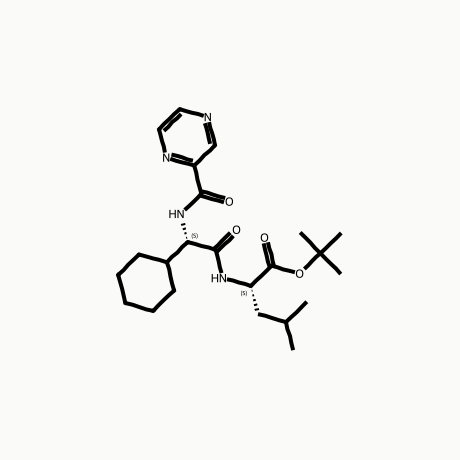 CC(C)C[C@H](NC(=O)[C@@H](NC(=O)c1cnccn1)C1CCCCC1)C(=O)OC(C)(C)C